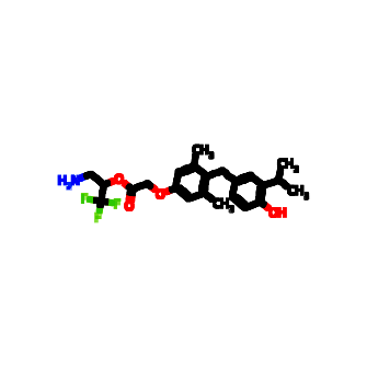 Cc1cc(OCC(=O)OC(CN)C(F)(F)F)cc(C)c1Cc1ccc(O)c(C(C)C)c1